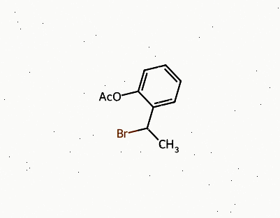 CC(=O)Oc1ccccc1C(C)Br